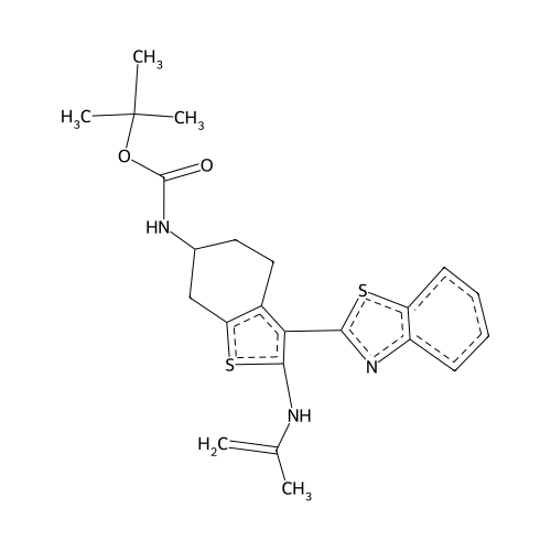 C=C(C)Nc1sc2c(c1-c1nc3ccccc3s1)CCC(NC(=O)OC(C)(C)C)C2